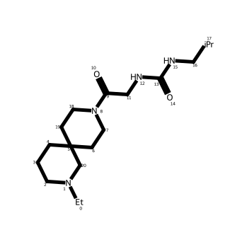 CCN1CCCC2(CCN(C(=O)CNC(=O)NCC(C)C)CC2)C1